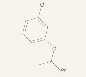 CC(C)C(C)Oc1cccc(Cl)c1